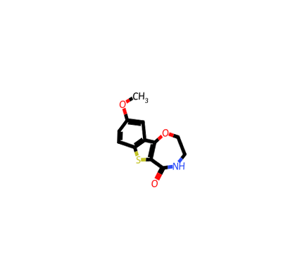 COc1ccc2sc3c(c2c1)OCCNC3=O